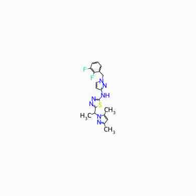 Cc1cc(C)n(C(C)c2nnc(Nc3ccn(Cc4cccc(F)c4F)n3)s2)n1